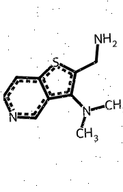 CN(C)c1c(CN)sc2ccncc12